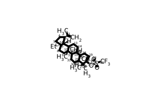 C=C(C)[C@@H]1CC[C@]2(CC)CC[C@]3(C)C(CC[C@@H]4[C@@]5(C)CC=C(OS(=O)(=O)C(F)(F)F)C(C)(C)[C@@H]5CC[C@]43C)[C@@H]12